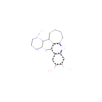 CC(C)N1CCCCC1C1CCCCc2nc3cc(O)c(O)cc3c(N)c21